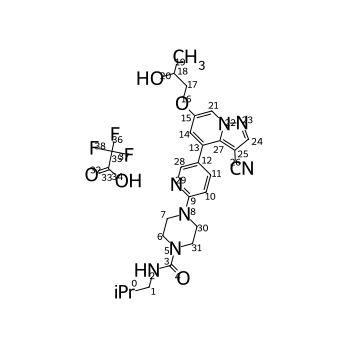 CC(C)CNC(=O)N1CCN(c2ccc(-c3cc(OCC(C)O)cn4ncc(C#N)c34)cn2)CC1.O=C(O)C(F)(F)F